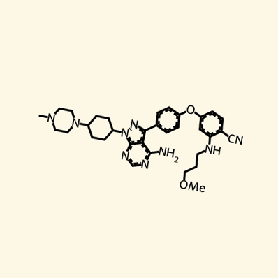 COCCCNc1cc(Oc2ccc(-c3nn(C4CCC(N5CCN(C)CC5)CC4)c4ncnc(N)c34)cc2)ccc1C#N